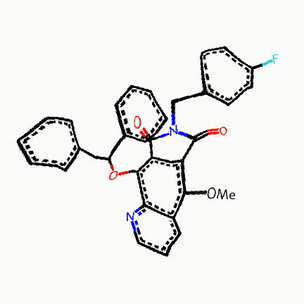 COc1c2c(c(OC(c3ccccc3)c3ccccc3)c3ncccc13)C(=O)N(Cc1ccc(F)cc1)C2=O